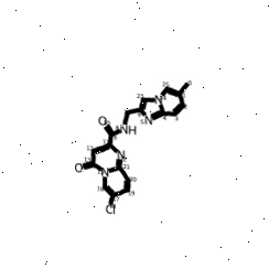 Cc1ccc2nc(CNC(=O)c3cc(=O)n4cc(Cl)ccc4n3)cn2c1